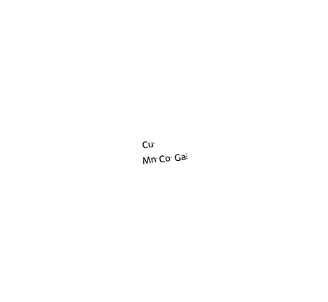 [Co].[Cu].[Ga].[Mn]